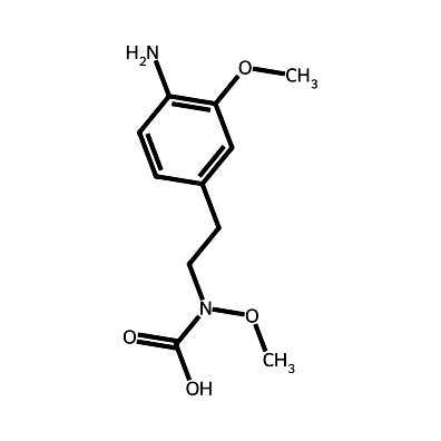 COc1cc(CCN(OC)C(=O)O)ccc1N